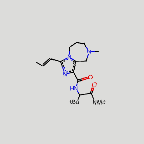 CC=Cc1nc(C(=O)NC(C(=O)NC)C(C)(C)C)c2n1CCCN(C)C2